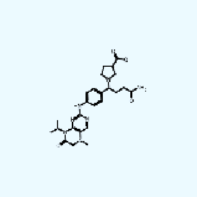 CC(C)N1C(=O)CN(C)c2cnc(Nc3ccc(C(CCC(N)=O)N4CCC(C(=O)O)C4)cc3)nc21